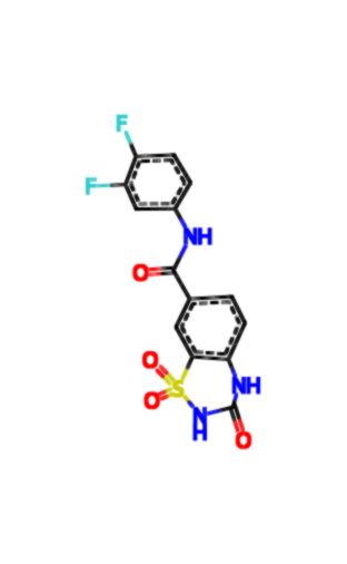 O=C1Nc2ccc(C(=O)Nc3ccc(F)c(F)c3)cc2S(=O)(=O)N1